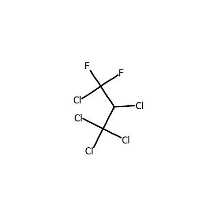 FC(F)(Cl)[C](Cl)C(Cl)(Cl)Cl